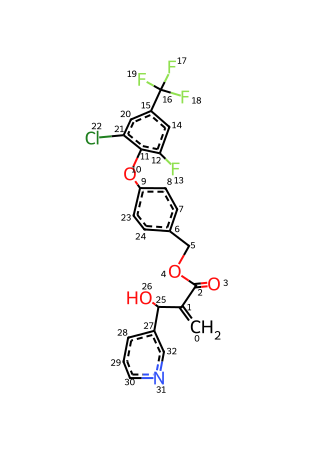 C=C(C(=O)OCc1ccc(Oc2c(F)cc(C(F)(F)F)cc2Cl)cc1)C(O)c1cccnc1